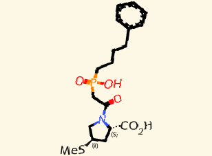 CS[C@@H]1C[C@@H](C(=O)O)N(C(=O)CP(=O)(O)CCCCc2ccccc2)C1